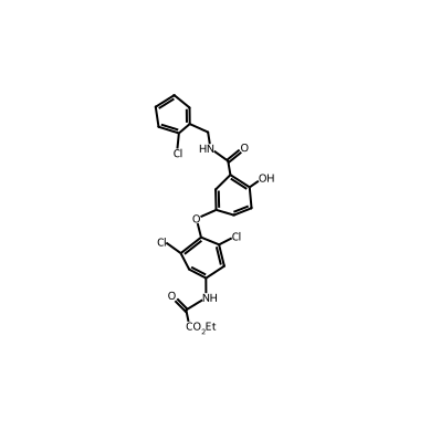 CCOC(=O)C(=O)Nc1cc(Cl)c(Oc2ccc(O)c(C(=O)NCc3ccccc3Cl)c2)c(Cl)c1